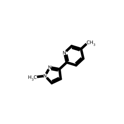 Cc1ccc(-c2ccn(C)n2)nc1